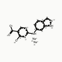 O=C([O-])c1cnc(Nc2ccc3cn[nH]c3c2)nc1[O-].[Na+].[Na+]